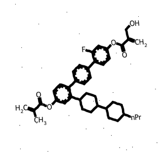 C=C(C)C(=O)Oc1ccc(-c2ccc(-c3ccc(OC(=O)C(=C)CO)cc3F)cc2)c(C2CCC(C3CCC(CCC)CC3)CC2)c1